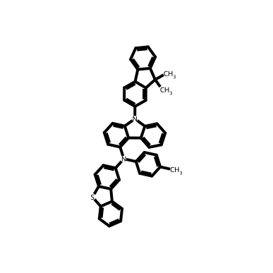 Cc1ccc(N(c2ccc3sc4ccccc4c3c2)c2cccc3c2c2ccccc2n3-c2ccc3c(c2)C(C)(C)c2ccccc2-3)cc1